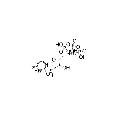 C[C@@]1(S)[C@H](O)[C@@H](COP(=O)(O)OP(=O)(O)OP(=O)(O)O)O[C@H]1n1ccc(=O)[nH]c1=O